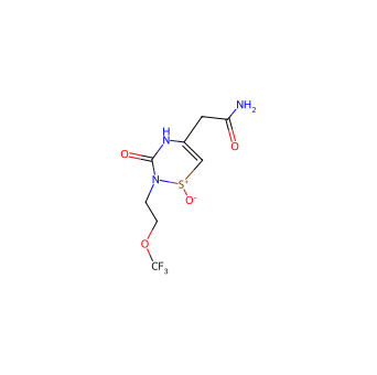 NC(=O)CC1=C[S+]([O-])N(CCOC(F)(F)F)C(=O)N1